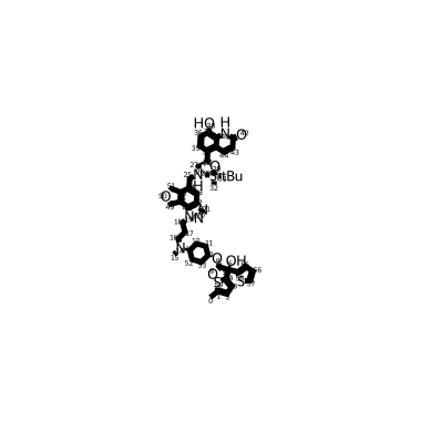 Cc1ccc([C@](O)(C(=O)O[C@H]2CC[C@H](N(C)CCCn3nnc4cc(CNC[C@H](O[Si](C)(C)C(C)(C)C)c5ccc(O)c6[nH]c(=O)ccc56)c5c(c43)COC5)CC2)c2cccs2)s1